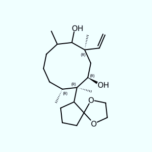 C=C[C@@]1(C)C[C@@H](O)[C@@](C)(C2CCCC23OCCO3)[C@H](C)CCCC(C)C1O